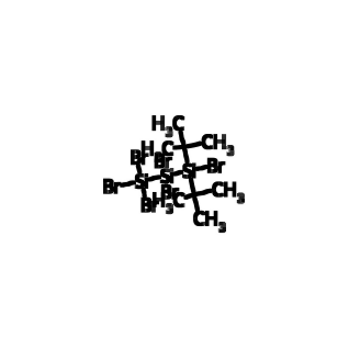 CC(C)(C)[Si](Br)(C(C)(C)C)[Si](Br)(Br)[Si](Br)(Br)Br